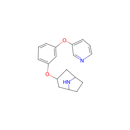 c1cncc(Oc2cccc(OC3CC4CCC(C3)N4)c2)c1